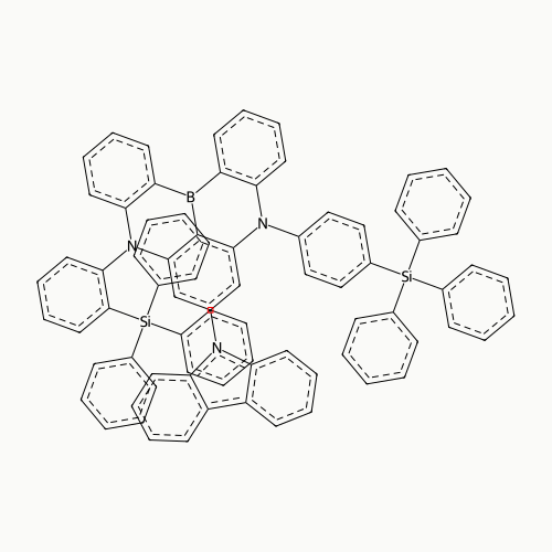 c1ccc([Si](c2ccccc2)(c2ccccc2)c2ccc(N3c4ccccc4B4c5ccccc5N(c5ccccc5[Si](c5ccccc5)(c5ccccc5)c5ccccc5)c5cc(-n6c7ccccc7c7ccccc76)cc3c54)cc2)cc1